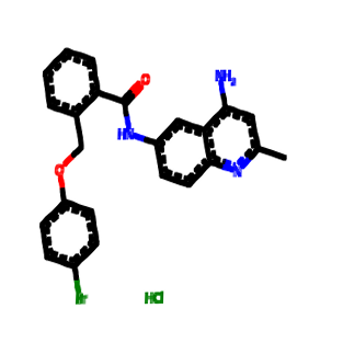 Cc1cc(N)c2cc(NC(=O)c3ccccc3COc3ccc(Br)cc3)ccc2n1.Cl